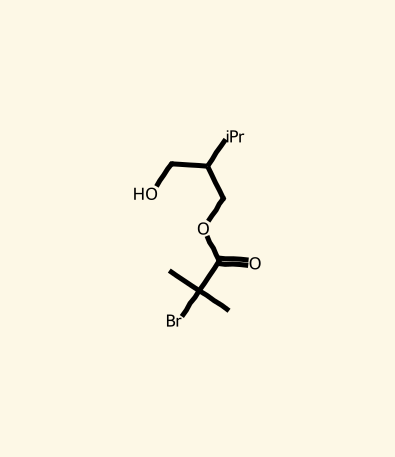 CC(C)C(CO)COC(=O)C(C)(C)Br